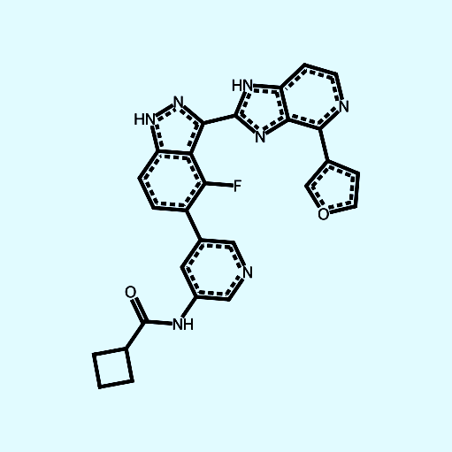 O=C(Nc1cncc(-c2ccc3[nH]nc(-c4nc5c(-c6ccoc6)nccc5[nH]4)c3c2F)c1)C1CCC1